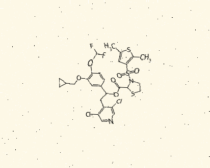 Cc1cc(S(=O)(=O)N2CCSC2C(=O)OC(Cc2c(Cl)cncc2Cl)c2ccc(OC(F)F)c(OCC3CC3)c2)c(C)s1